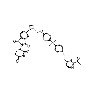 CC(=O)c1nccc(COc2ccc(C(C)(C)c3ccc(OC[C@H]4CCN4c4ccc5c(c4)C(=O)N(C4CCC(=O)NC4=O)C5=O)cc3)cc2)n1